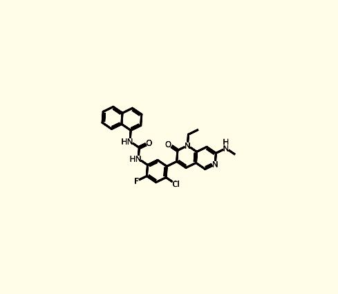 CCn1c(=O)c(-c2cc(NC(=O)Nc3cccc4ccccc34)c(F)cc2Cl)cc2cnc(NC)cc21